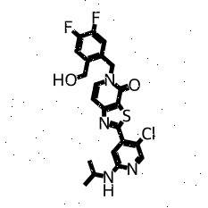 CC(C)Nc1cc(-c2nc3ccn(Cc4cc(F)c(F)cc4CO)c(=O)c3s2)c(Cl)cn1